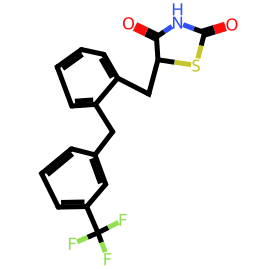 O=C1NC(=O)C(Cc2ccccc2Cc2cccc(C(F)(F)F)c2)S1